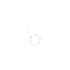 CCOc1cc(O)c[c]c1F